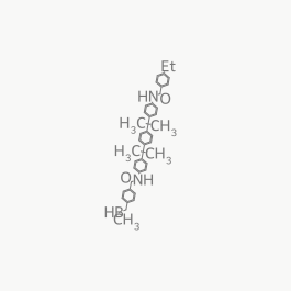 CBCc1ccc(C(=O)Nc2ccc(C(C)(C)c3ccc(C(C)(C)c4ccc(NC(=O)c5ccc(CC)cc5)cc4)cc3)cc2)cc1